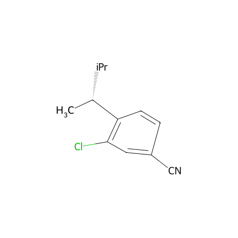 CC(C)[C@@H](C)c1ccc(C#N)cc1Cl